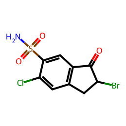 NS(=O)(=O)c1cc2c(cc1Cl)CC(Br)C2=O